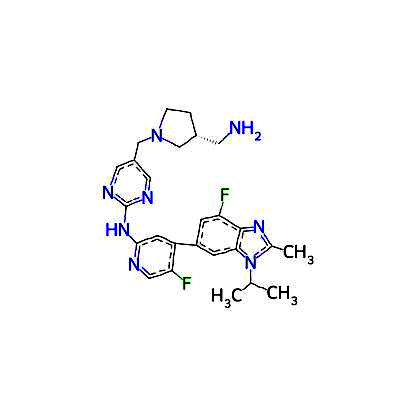 Cc1nc2c(F)cc(-c3cc(Nc4ncc(CN5CC[C@H](CN)C5)cn4)ncc3F)cc2n1C(C)C